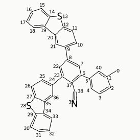 Cc1cccc(-c2cc(-c3ccc4sc5ccccc5c4c3)cc(-c3ccc4sc5ccccc5c4c3)c2C#N)c1